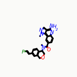 CN(C(=O)c1ccc2nc(N)c3cnn(C)c3c2c1)C1COCc2cc(/C=C/F)ccc21